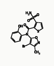 Cc1noc(N(C(=O)c2sccc2S(N)(=O)=O)c2ccccc2O)c1Br